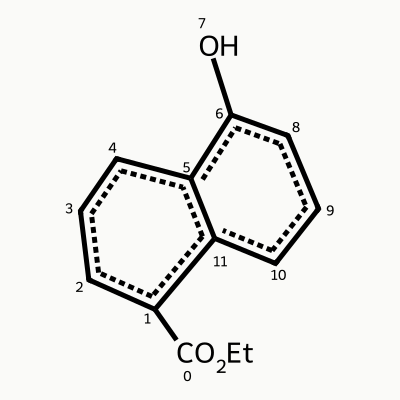 CCOC(=O)c1cccc2c(O)cccc12